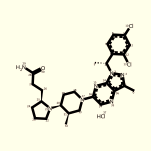 Cc1nn([C@H](C)c2ccc(Cl)cc2Cl)c2nc(N3CC[C@H](N4CCC[C@H]4CCC(N)=O)[C@H](C)C3)cnc12.Cl